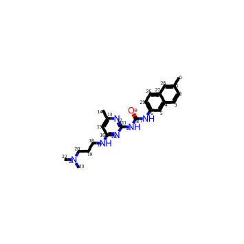 Cc1ccc2cc(NC(=O)Nc3nc(C)cc(NCCCN(C)C)n3)ccc2c1